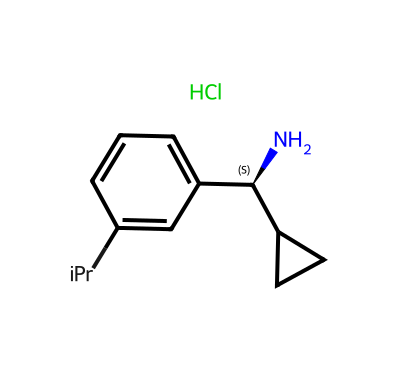 CC(C)c1cccc([C@@H](N)C2CC2)c1.Cl